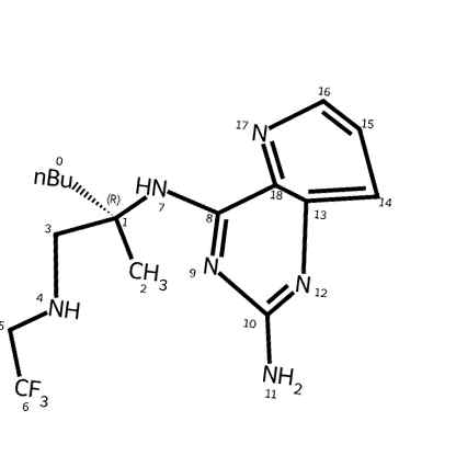 CCCC[C@](C)(CNCC(F)(F)F)Nc1nc(N)nc2cccnc12